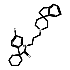 O=C(NCCCN1CCC2(CCc3ccccc32)CC1)C1(c2ccc(Cl)cc2)CCCCC1